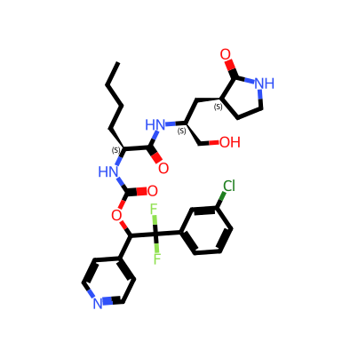 CCCC[C@H](NC(=O)OC(c1ccncc1)C(F)(F)c1cccc(Cl)c1)C(=O)N[C@H](CO)C[C@@H]1CCNC1=O